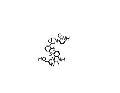 CC(Nc1ccc2c(c1)Sc1cccc(C3CN(c4ccc[nH]c4=O)CCO3)c1S2)c1ncc(CO)cn1